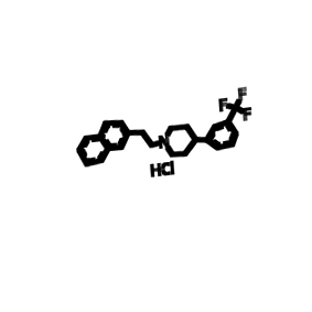 Cl.FC(F)(F)c1cccc(C2CCN(CCc3ccc4ccccc4c3)CC2)c1